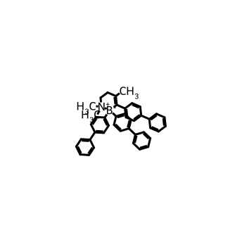 CC1=C(c2ccc(-c3ccccc3)cc2)[B-](c2ccc(-c3ccccc3)cc2)(c2ccc(-c3ccccc3)cc2)[N+](C)(C)CC1